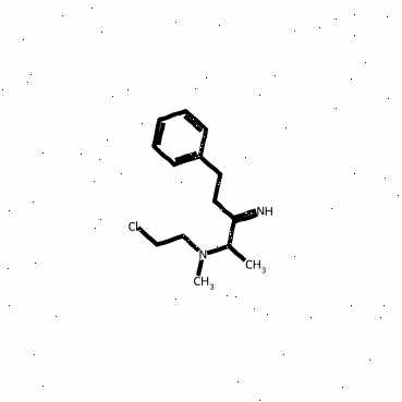 CC(C(=N)CCc1ccccc1)N(C)CCCl